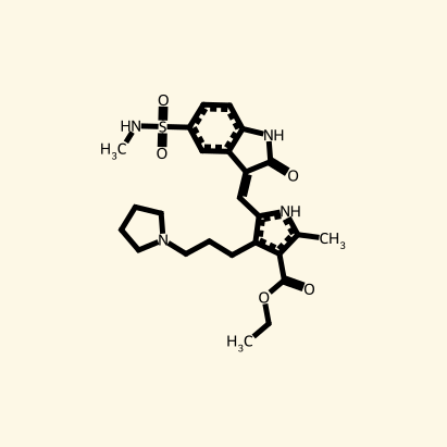 CCOC(=O)c1c(C)[nH]c(/C=C2\C(=O)Nc3ccc(S(=O)(=O)NC)cc32)c1CCCN1CCCC1